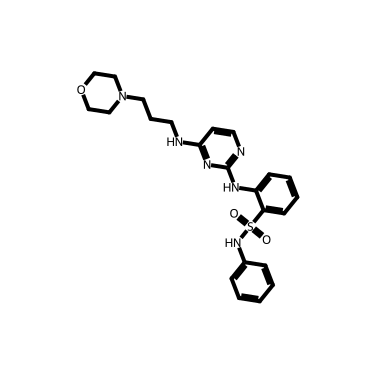 O=S(=O)(Nc1ccccc1)c1ccccc1Nc1nccc(NCCCN2CCOCC2)n1